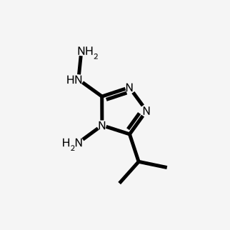 CC(C)c1nnc(NN)n1N